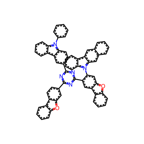 c1ccc(-n2c3ccccc3c3cc(-c4nc(-c5ccc6c(c5)oc5ccccc56)nc(-c5cc6c(cc5-n5c7ccccc7c7cc8ccccc8cc75)oc5ccccc56)n4)ccc32)cc1